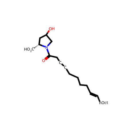 CCCCCCCC/C=C/CCCCCCCC(=O)N1CC(O)C[C@H]1C(=O)O